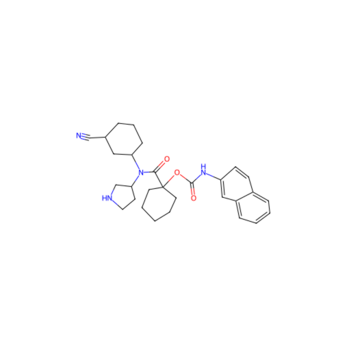 N#CC1CCCC(N(C(=O)C2(OC(=O)Nc3ccc4ccccc4c3)CCCCC2)C2CCNC2)C1